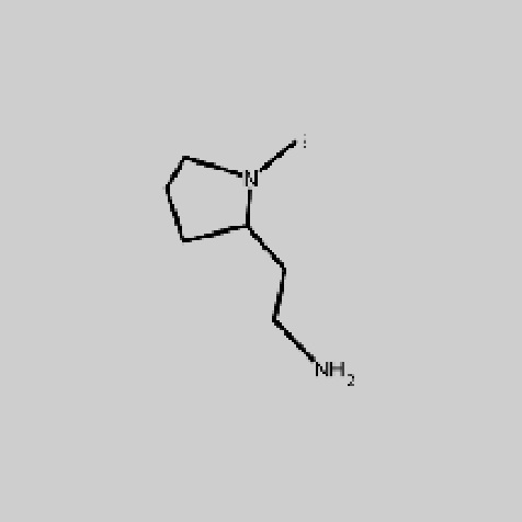 [C]N1CCCC1CCN